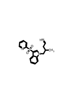 CC(CC=N)Cn1cc(S(=O)(=O)c2ccccn2)c2ccccc21